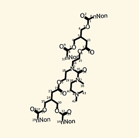 CCCCCCCCCC(=O)OCC(COC(=O)CCCCCCCCC)CC(=O)OCCN(CCOC(=O)CC(COC(=O)CCCCCCCCC)COC(=O)CCCCCCCCC)C(=O)N(C)CCN(C)C